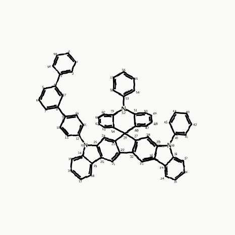 c1ccc(-c2cccc(-c3ccc(-n4c5ccccc5c5cc6c(cc54)C4(c5cc7c(cc5-6)c5ccccc5n7-c5ccccc5)c5ccccc5N(c5ccccc5)c5ccccc54)cc3)c2)cc1